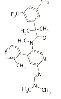 Cc1ccccc1-c1cc(N=CN(C)C)ncc1N(C)C(=O)C(C)(C)c1cc(C(F)(F)F)cc(C(F)(F)F)c1